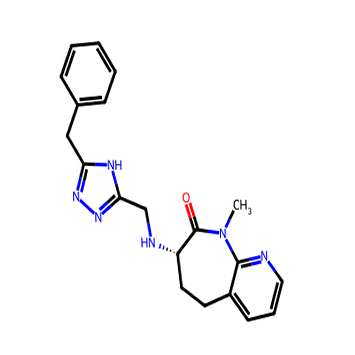 CN1C(=O)[C@@H](NCc2nnc(Cc3ccccc3)[nH]2)CCc2cccnc21